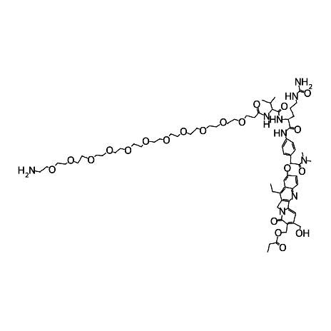 CCC(=O)OCc1c(CO)cc2n(c1=O)Cc1c-2nc2ccc(OC(C(=O)N(C)C)c3ccc(NC(=O)[C@H](CCCNC(N)=O)NC(=O)C(NC(=O)CCOCCOCCOCCOCCOCCOCCOCCOCCOCCOCCOCCN)C(C)C)cc3)cc2c1CC